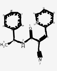 C[C@H](NC(=O)C(C#N)=Cc1ccccn1)c1ccccc1